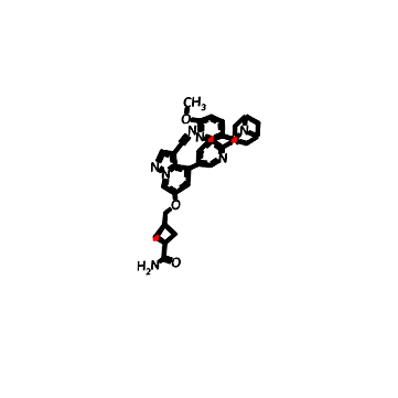 COc1ccc(CN2C3CC2CN(c2ccc(-c4cc(OCC56CC(C(N)=O)(C5)C6)cn5ncc(C#N)c45)cn2)C3)cn1